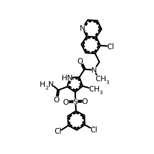 Cc1c(C(=O)N(C)Cc2ccc3ncccc3c2Cl)[nH]c(C(N)=O)c1S(=O)(=O)c1cc(Cl)cc(Cl)c1